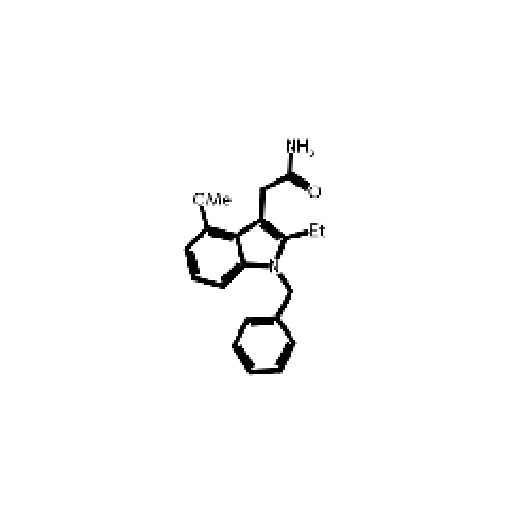 CCc1c(CC(N)=O)c2c(OC)cccc2n1Cc1ccccc1